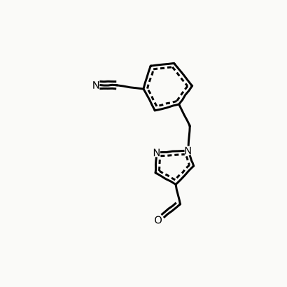 N#Cc1cccc(Cn2cc(C=O)cn2)c1